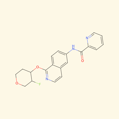 O=C(Nc1ccc2c(OC3CCOCC3F)nccc2c1)c1ccccn1